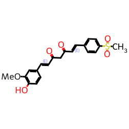 COc1cc(/C=C/C(=O)CC(=O)/C=C/c2ccc(S(C)(=O)=O)cc2)ccc1O